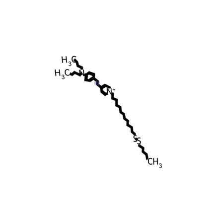 CCCCCCSSCCCCCCCCCCCCC[n+]1ccc(/C=C/c2ccc(N(CCCC)CCCC)cc2)cc1